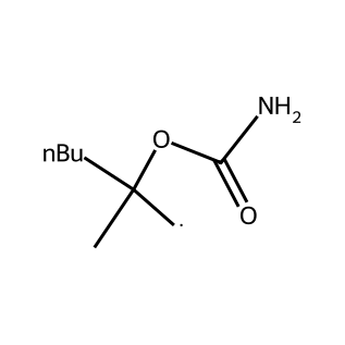 [CH2]C(C)(CCCC)OC(N)=O